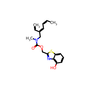 C=C/C(=C\C=C/C)CN(C)C(=O)OCc1nc2c(O)cccc2s1